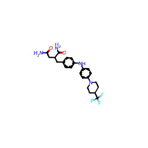 NC(=O)CC(Cc1ccc(Nc2ccc(N3CCC(C(F)(F)F)CC3)cc2)cc1)C(N)=O